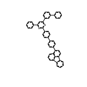 c1ccc(-c2cccc(-c3cc(-c4ccccc4)nc(-c4ccc(-c5ccc(-c6ccc7c8c(cccc68)-c6ccccc6-7)cc5)cc4)n3)c2)cc1